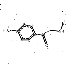 CCNOC(=O)c1ccc(C)cc1